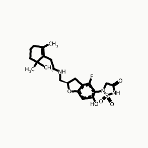 CC1=C(CCNC[C@H]2Cc3c(cc(O)c(N4CC(=O)NS4(=O)=O)c3F)O2)C(C)(C)CCC1